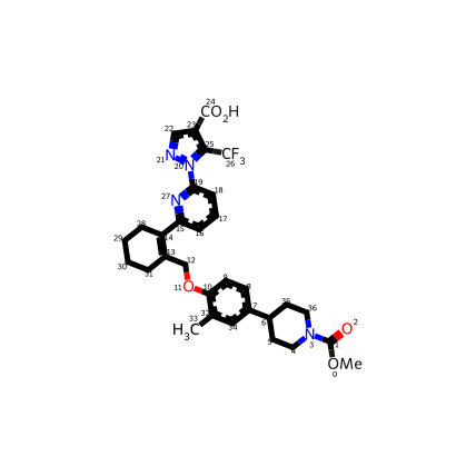 COC(=O)N1CCC(c2ccc(OCC3=C(c4cccc(-n5ncc(C(=O)O)c5C(F)(F)F)n4)CCCC3)c(C)c2)CC1